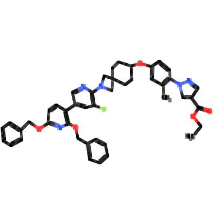 CCOC(=O)c1cnn(-c2ccc(OC3CCC4(CC3)CN(c3ncc(-c5ccc(OCc6ccccc6)nc5OCc5ccccc5)cc3F)C4)cc2C)c1